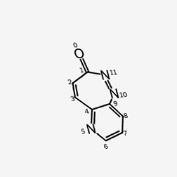 O=c1ccc2ncccc2nn1